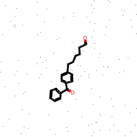 O=CCCCCCc1ccc(C(=O)c2ccccc2)cc1